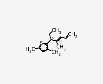 C=C/C=C(\C)[C@H](CC)c1sc(C)cc1C